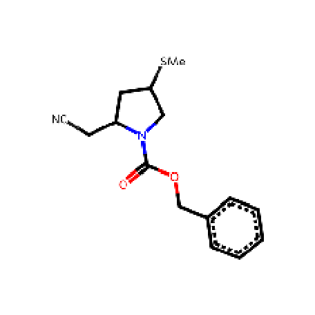 CSC1CC(CC#N)N(C(=O)OCc2ccccc2)C1